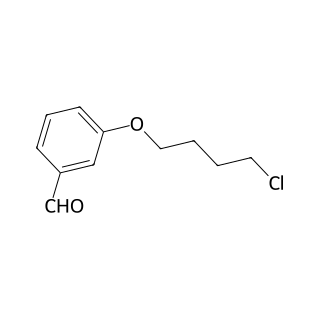 O=Cc1cccc(OCCCCCl)c1